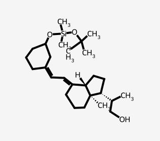 CC(CO)[C@H]1CC[C@H]2/C(=C/C=C3/CCCC(O[Si](C)(C)OC(C)(C)C)C3)CCC[C@]12C